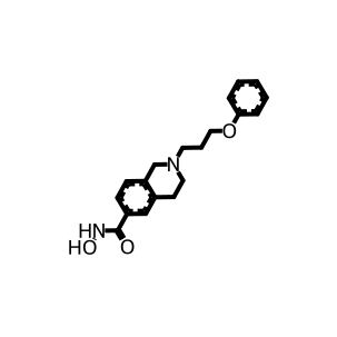 O=C(NO)c1ccc2c(c1)CCN(CCCOc1ccccc1)C2